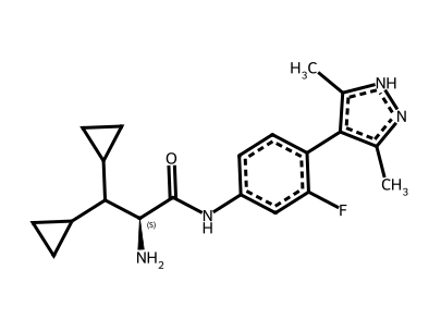 Cc1n[nH]c(C)c1-c1ccc(NC(=O)[C@@H](N)C(C2CC2)C2CC2)cc1F